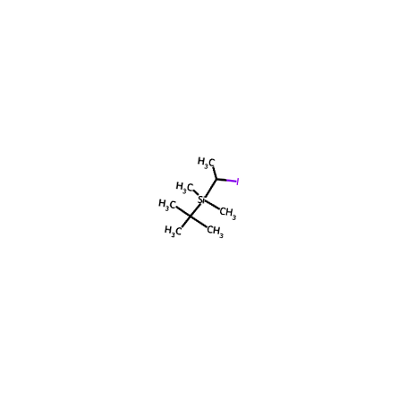 CC(I)[Si](C)(C)C(C)(C)C